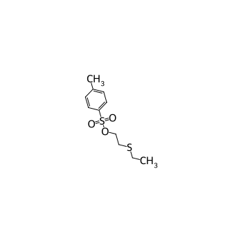 CCSCCOS(=O)(=O)c1ccc(C)cc1